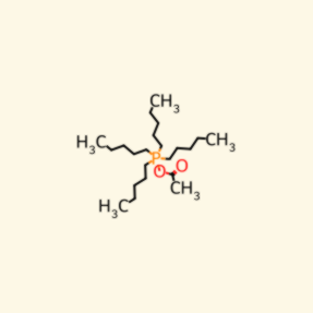 CCCCCP(CCCCC)(CCCCC)(CCCCC)OC(C)=O